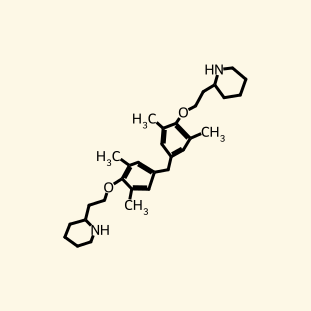 Cc1cc(Cc2cc(C)c(OCCC3CCCCN3)c(C)c2)cc(C)c1OCCC1CCCCN1